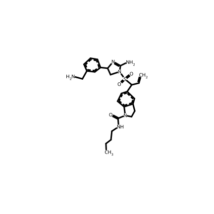 C=CC(c1ccc2c(c1)CCN2C(=O)NCCCC)S(=O)(=O)N1CC(c2cccc(CN)c2)N=C1N